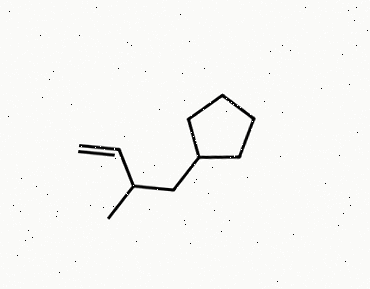 C=CC(C)CC1CCCC1